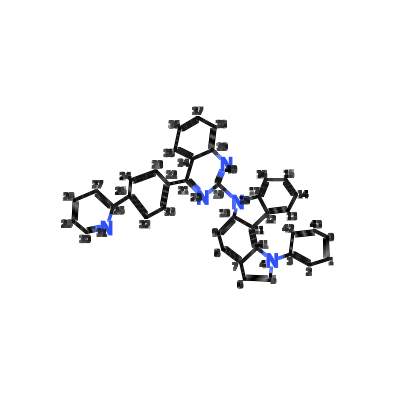 c1ccc(-n2ccc3ccc4c(c5ccccc5n4-c4nc(-c5ccc(-c6ccccn6)cc5)c5ccccc5n4)c32)cc1